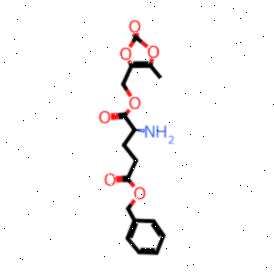 Cc1oc(=O)oc1COC(=O)[C@@H](N)CCC(=O)OCc1ccccc1